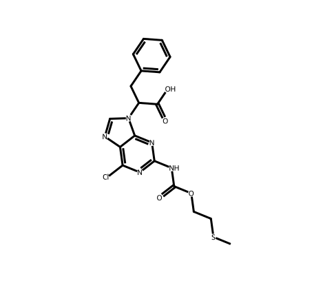 CSCCOC(=O)Nc1nc(Cl)c2ncn(C(Cc3ccccc3)C(=O)O)c2n1